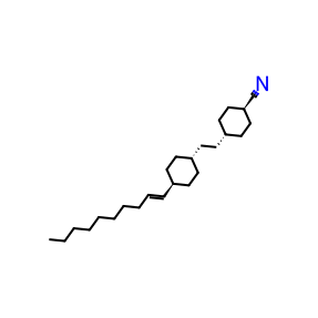 CCCCCCCCC=C[C@H]1CC[C@H](CC[C@H]2CC[C@H](C#N)CC2)CC1